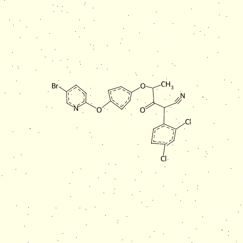 CC(Oc1ccc(Oc2ccc(Br)cn2)cc1)C(=O)C(C#N)c1ccc(Cl)cc1Cl